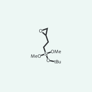 CO[Si](CCC1CO1)(OC)OC(C)(C)C